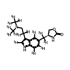 [2H]c1[nH]c2c([2H])c([2H])c(C([2H])([2H])[C@H]3COC(=O)N3)c([2H])c2c1C([2H])([2H])CN(C([2H])([2H])[2H])C([2H])([2H])[2H]